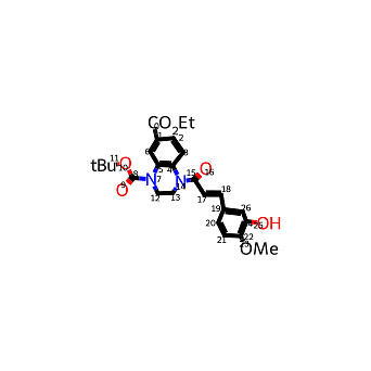 CCOC(=O)c1ccc2c(c1)N(C(=O)OC(C)(C)C)CCN2C(=O)C=Cc1ccc(OC)c(O)c1